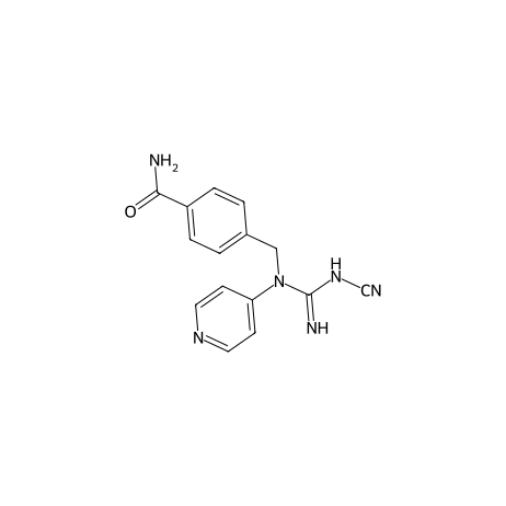 N#CNC(=N)N(Cc1ccc(C(N)=O)cc1)c1ccncc1